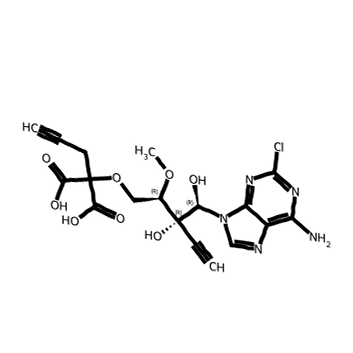 C#CCC(OC[C@@H](OC)[C@](O)(C#C)[C@@H](O)n1cnc2c(N)nc(Cl)nc21)(C(=O)O)C(=O)O